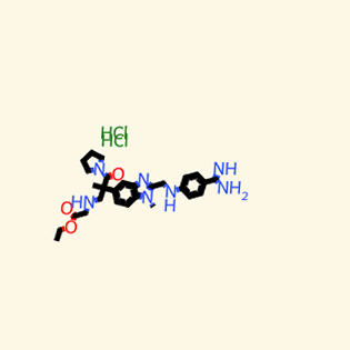 CCOC(=O)CNCC(C)(C(=O)N1CCCC1)c1ccc2c(c1)nc(CNc1ccc(C(=N)N)cc1)n2C.Cl.Cl